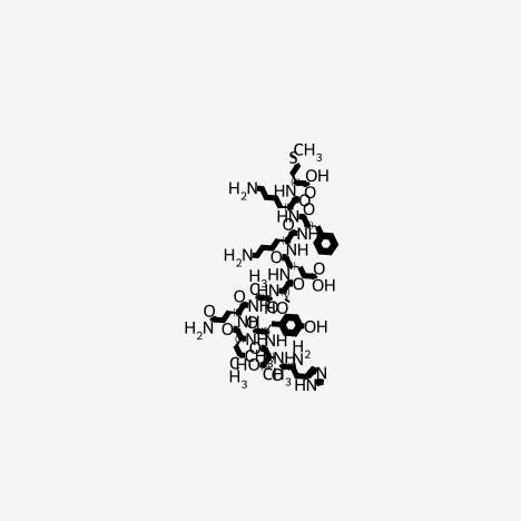 CSCC[C@H](NC(=O)[C@H](CCCCN)NC(=O)[C@H](Cc1ccccc1)NC(=O)[C@H](CCCCN)NC(=O)[C@H](CCC(=O)O)NC(=O)[C@H](CO)NC(=O)[C@H](C)NC(=O)[C@H](CCC(N)=O)NC(=O)[C@H](CC(C)C)NC(=O)[C@H](Cc1ccc(O)cc1)NC(=O)[C@@H](NC(=O)[C@@H](N)Cc1cnc[nH]1)[C@@H](C)O)C(=O)O